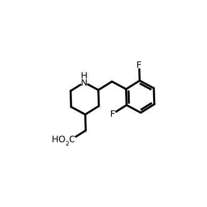 O=C(O)CC1CCNC(Cc2c(F)cccc2F)C1